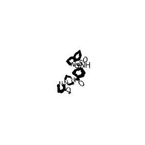 COc1cccnc1N1CCCN(C(=O)c2ccc(NS(=O)(=O)c3cccc4cccnc34)cc2)CC1